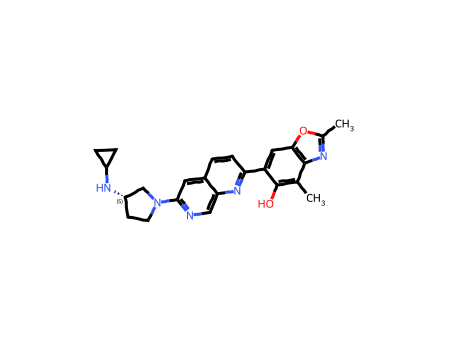 Cc1nc2c(C)c(O)c(-c3ccc4cc(N5CC[C@H](NC6CC6)C5)ncc4n3)cc2o1